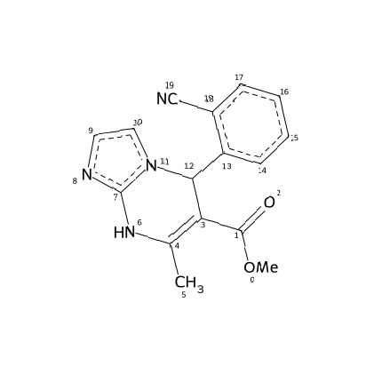 COC(=O)C1=C(C)Nc2nccn2C1c1ccccc1C#N